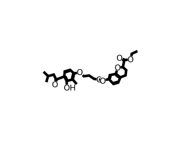 CCOC(=O)C1CCc2ccc(OCCCCOc3ccc(C(=O)CC(C)C)c(O)c3C)cc2O1